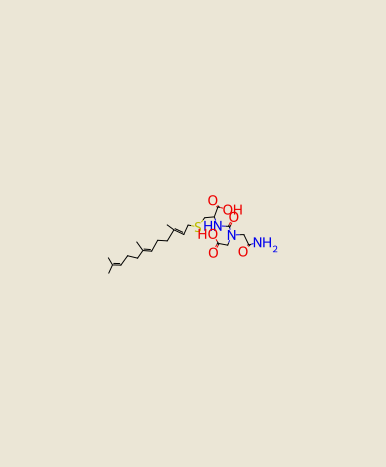 CC(C)=CCC/C(C)=C/CC/C(C)=C/CSCC(NC(=O)N(CC(N)=O)CC(=O)O)C(=O)O